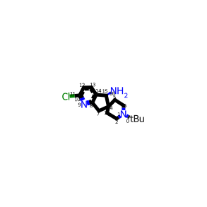 CC(C)(C)N1CCC2(CC1)Cc1nc(Cl)ccc1[C@H]2N